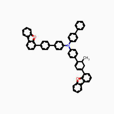 CC1CC(c2cccc3c2oc2ccccc23)=CC=C1c1ccc(N(c2ccc(-c3ccccc3)cc2)c2ccc(-c3ccc(-c4cccc5c4oc4ccccc45)cc3)cc2)cc1